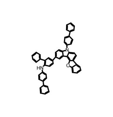 c1ccc(-c2ccc(Nc3ccc(-c4ccc5c(c4)c4c6oc7ccccc7c6ccc4n5-c4ccc(-c5ccccc5)cc4)cc3-c3ccccc3)cc2)cc1